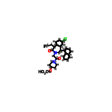 CC(C)CC1C(=O)N(CC(=O)N2CCC(OC(=O)O)CC2)CC(c2cccc3ccccc23)c2cc(Cl)ccc21